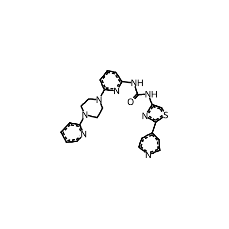 O=C(Nc1cccc(N2CCN(c3ccccn3)CC2)n1)Nc1csc(-c2ccncc2)n1